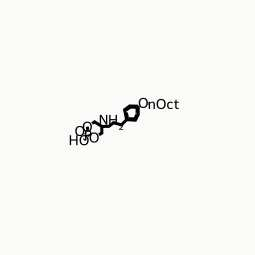 CCCCCCCCOc1ccc(CCCC2(N)COP(=O)(O)OC2)cc1